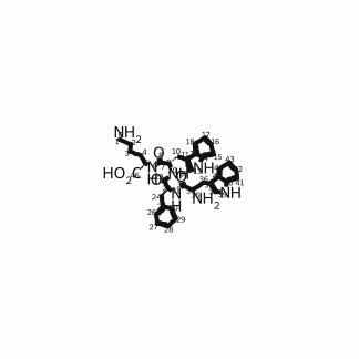 NCCCC[C@H](NC(=O)[C@H](Cc1c[nH]c2ccccc12)NC(=O)[C@H](Cc1ccccc1)NC(=O)[C@@H](N)Cc1c[nH]c2ccccc12)C(=O)O